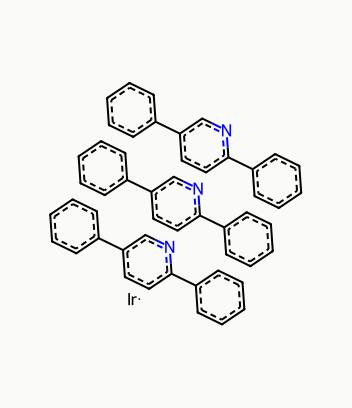 [Ir].c1ccc(-c2ccc(-c3ccccc3)nc2)cc1.c1ccc(-c2ccc(-c3ccccc3)nc2)cc1.c1ccc(-c2ccc(-c3ccccc3)nc2)cc1